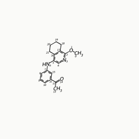 COc1ncc(Nc2cccc(C(C)=O)c2)c2c1CCCC2